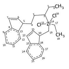 CC[CH](CCC1C=Cc2ccccc21)[Zr]([Cl])([Cl])([CH2]C)[CH2]C1C=Cc2ccccc21